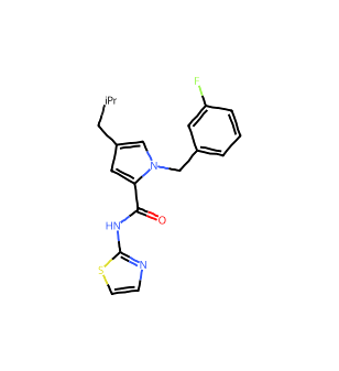 CC(C)Cc1cc(C(=O)Nc2nccs2)n(Cc2cccc(F)c2)c1